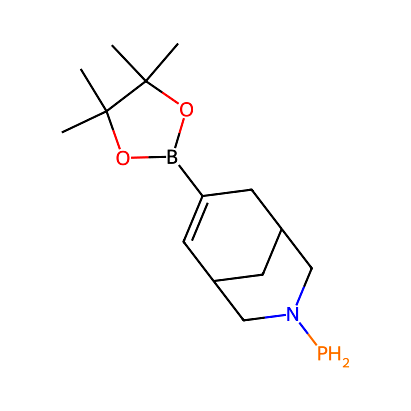 CC1(C)OB(C2=CC3CC(C2)CN(P)C3)OC1(C)C